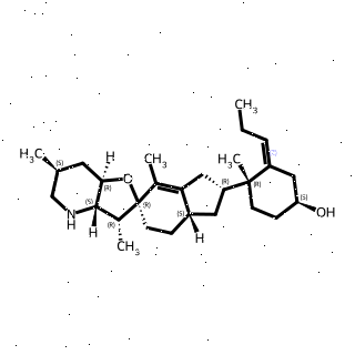 CC/C=C1/C[C@@H](O)CC[C@]1(C)[C@H]1CC2=C(C)[C@]3(CC[C@H]2C1)O[C@@H]1C[C@H](C)CN[C@H]1[C@H]3C